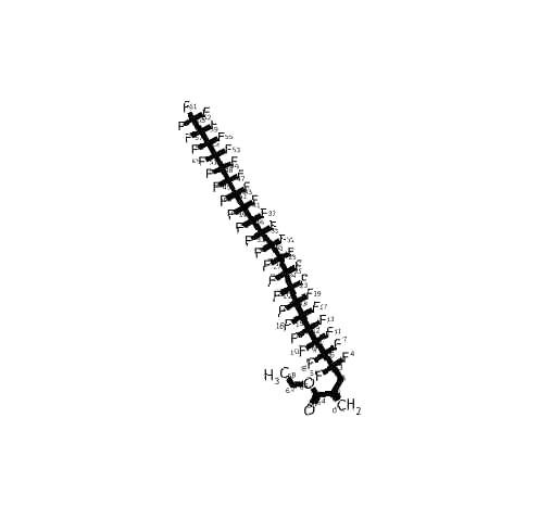 C=C(CC(F)(F)C(F)(F)C(F)(F)C(F)(F)C(F)(F)C(F)(F)C(F)(F)C(F)(F)C(F)(F)C(F)(F)C(F)(F)C(F)(F)C(F)(F)C(F)(F)C(F)(F)C(F)(F)C(F)(F)C(F)(F)C(F)(F)C(F)(F)F)C(=O)OCC